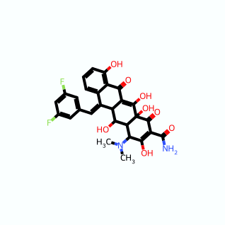 CN(C)C1C(O)=C(C(N)=O)C(=O)C2(O)C(O)=C3C(=O)c4c(O)cccc4/C(=C\c4cc(F)cc(F)c4)C3C(O)C12